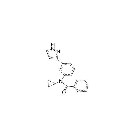 O=C(c1ccccc1)N(c1cccc(-c2cc[nH]n2)c1)C1CC1